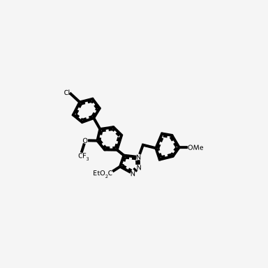 CCOC(=O)c1nnn(Cc2ccc(OC)cc2)c1-c1ccc(-c2ccc(Cl)cc2)c(OC(F)(F)F)c1